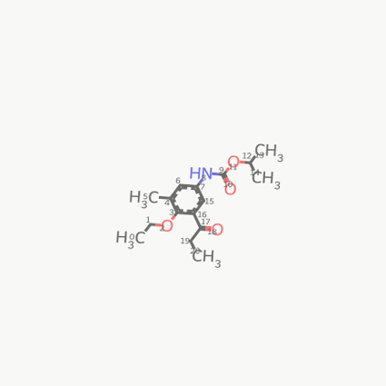 CCOc1c(C)cc(NC(=O)OC(C)C)cc1C(=O)CC